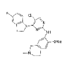 COc1cc2c(cc1Nc1ncc(Cl)c(N3CCc4cc(F)ccc43)n1)CN(C)CC2